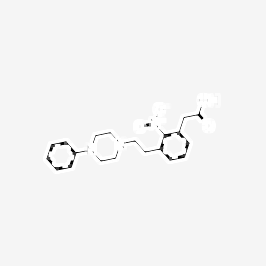 O=C(O)Cc1cccc(CCN2CCN(c3ccccc3)CC2)c1[N+](=O)[O-]